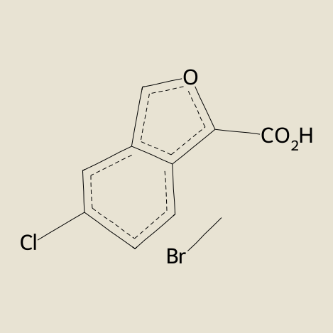 CBr.O=C(O)c1occ2cc(Cl)ccc12